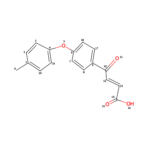 Cc1ccc(Oc2ccc(C(=O)/C=C/C(=O)O)cc2)cc1